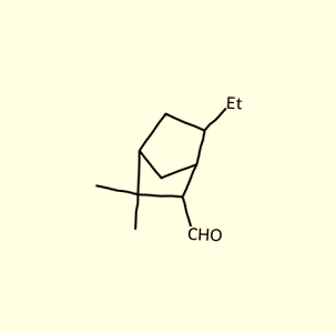 CCC1CC2CC1C(C=O)C2(C)C